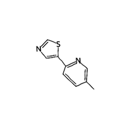 Cc1ccc(-c2cncs2)nc1